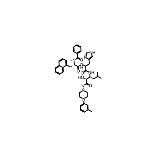 Cc1cccc(N2CCN(NC(=O)[C@@H](O)[C@H](CC(C)C)NC(=O)C(Cc3c[nH]cn3)NC(=O)[C@H](Cc3cccc4ccccc34)NC(=O)c3ccccc3)CC2)c1